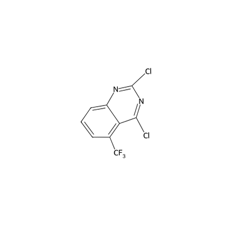 FC(F)(F)c1cccc2nc(Cl)nc(Cl)c12